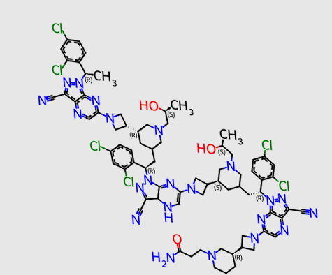 C[C@H](O)CN1CC(C[C@H](c2ccc(Cl)cc2Cl)n2nc(C#N)c3ncc(N4CC([C@H]5CCCN(CCC(N)=O)C5)C4)nc32)C[C@@H](C2CN(C3=CNC4C(C#N)=NN([C@H](CC5C[C@H](C6CN(c7cnc8c(C#N)nn([C@H](C)c9ccc(Cl)cc9Cl)c8n7)C6)CN(C[C@H](C)O)C5)c5ccc(Cl)cc5Cl)C4=N3)C2)C1